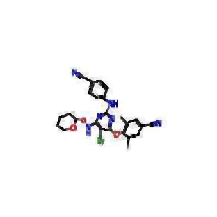 Cc1cc(C#N)cc(C)c1Oc1nc(Nc2ccc(C#N)cc2)nc(NOC2CCCCO2)c1Br